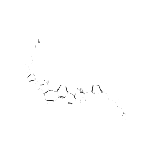 CCCCCCc1ccc(-c2nc3c(ccc4c5ccc6oc(-c7ccc(CCCCCC)s7)nc6c5ccc43)o2)s1